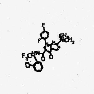 CN(C)c1ccc2c(=O)c(C(=O)NC(c3ccccc3Cl)C(F)(F)F)cn(-c3ccc(F)cc3F)c2n1